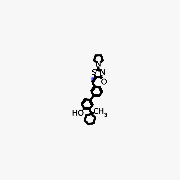 CC1(c2cc(-c3cccc(/C=C4/SC(N5CCCC5)=NC4=O)c3)ccc2O)CCCCC1